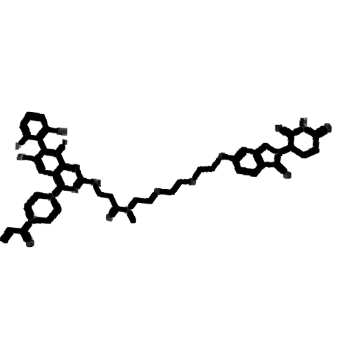 C=CC(=O)N1CCN(c2nc(NCCC(=O)N(C)CCOCCOCCOc3ccc4c(c3)CN(C3CCC(=O)NC3=O)C4=O)nc3c(F)c(-c4c(O)cccc4F)c(Cl)cc23)CC1